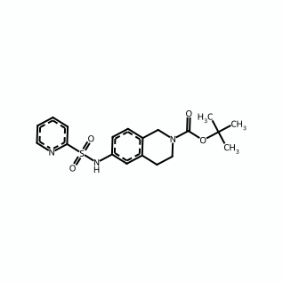 CC(C)(C)OC(=O)N1CCc2cc(NS(=O)(=O)c3ccccn3)ccc2C1